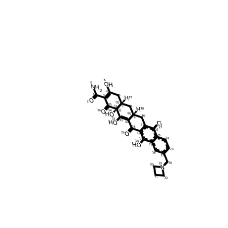 NC(=O)C1=C(O)C[C@@H]2C[C@@H]3Cc4c(c(O)c5cc(CN6CCC6)ccc5c4Cl)C(=O)C3=C(O)[C@]2(O)C1=O